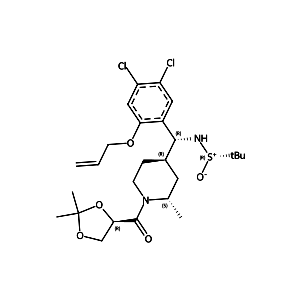 C=CCOc1cc(Cl)c(Cl)cc1[C@H](N[S@@+]([O-])C(C)(C)C)[C@@H]1CCN(C(=O)[C@H]2COC(C)(C)O2)[C@@H](C)C1